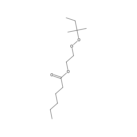 CCCCCC(=O)OCCOOC(C)(C)CC